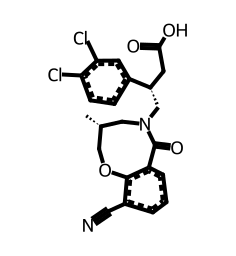 C[C@H]1COc2c(C#N)cccc2C(=O)N(C[C@@H](CC(=O)O)c2ccc(Cl)c(Cl)c2)C1